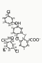 O=C([O-])c1cccc2c1Cc1ccccc1O2.Oc1cc(Cl)ccc1Cl.Oc1cccc(Cl)c1.[K+]